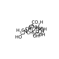 CC(C)C[C@H](N)C(=O)O.C[N+](C)(C)CCO.NCC(=O)O.OCC(O)CO